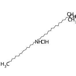 CCCCCCCCCCCCCCCCNCCCCCCCCCCCCCCCCCC(C)(C)C.Cl